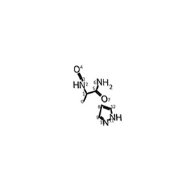 CC(NC=O)C(N)=O.c1cn[nH]c1